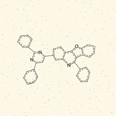 c1ccc(-c2cc(-c3ccc4c(c3)nc(-c3ccccc3)c3c5ccccc5oc43)nc(-c3ccccc3)n2)cc1